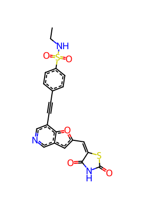 CCNS(=O)(=O)c1ccc(C#Cc2cncc3cc(/C=C4/SC(=O)NC4=O)oc23)cc1